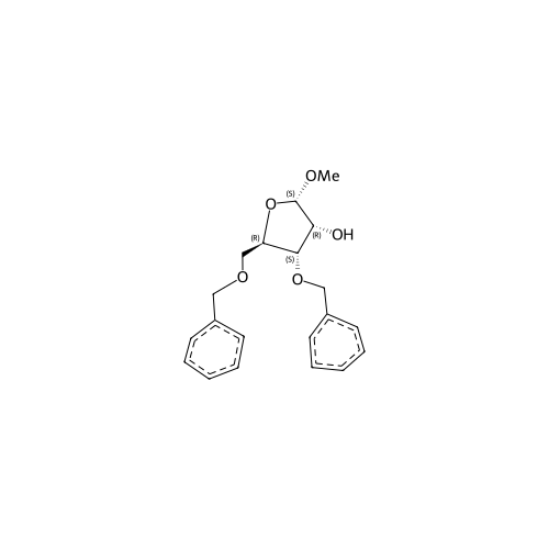 CO[C@H]1O[C@H](COCc2ccccc2)[C@@H](OCc2ccccc2)[C@H]1O